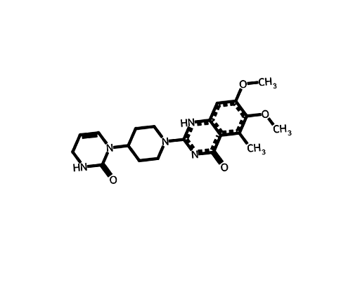 COc1cc2[nH]c(N3CCC(N4C=CCNC4=O)CC3)nc(=O)c2c(C)c1OC